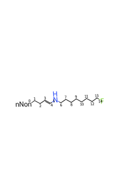 CCCCCCCCCCCC=CNCCCCCCCCF